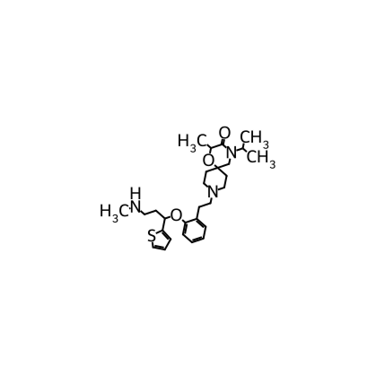 CNCCC(Oc1ccccc1CCN1CCC2(CC1)CN(C(C)C)C(=O)C(C)O2)c1cccs1